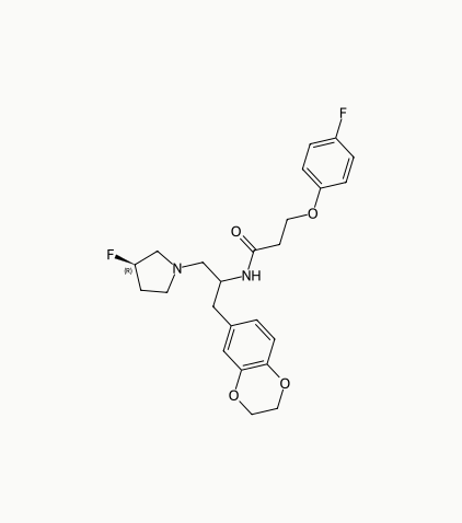 O=C(CCOc1ccc(F)cc1)NC(Cc1ccc2c(c1)OCCO2)CN1CC[C@@H](F)C1